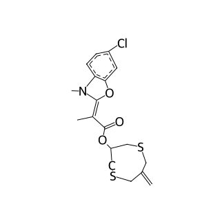 C=C1CSCC(OC(=O)/C(C)=C2\Oc3cc(Cl)ccc3N2C)CSC1